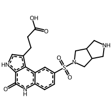 O=C(O)CCc1c[nH]c2c(=O)[nH]c3ccc(S(=O)(=O)N4CC5CNCC5C4)cc3c12